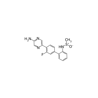 C[S+]([O-])Nc1ccccc1-c1ccc(-c2cnc(N)cn2)c(F)c1